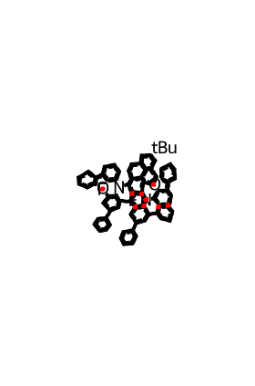 CC(C)(C)c1cc2ccc3c(N(c4c(F)cc(-c5ccccc5)cc4-c4ccccc4)c4cccc5c4oc4ccccc45)cc(N(c4c(F)cc(-c5ccccc5)cc4-c4ccccc4)c4cccc5c4oc4ccccc45)c4ccc(c1)c2c34